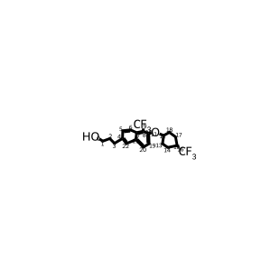 OCCCc1ccc2c(C(F)(F)F)c(OC3CCC(C(F)(F)F)CC3)ccc2c1